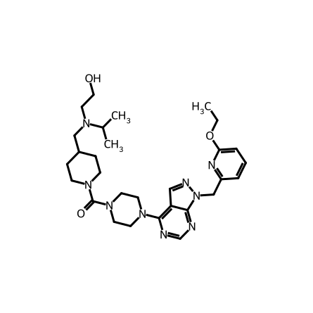 CCOc1cccc(Cn2ncc3c(N4CCN(C(=O)N5CCC(CN(CCO)C(C)C)CC5)CC4)ncnc32)n1